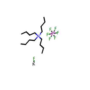 CCCC[N+](CCCC)(CCCC)CCCC.F[P-](F)(F)(F)(F)F.[F][K]